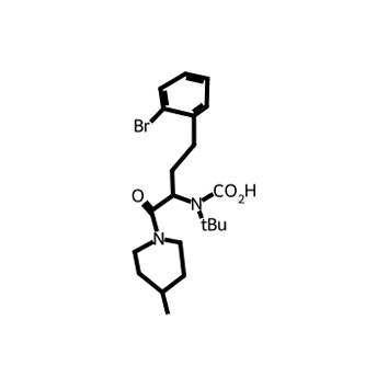 CC1CCN(C(=O)C(CCc2ccccc2Br)N(C(=O)O)C(C)(C)C)CC1